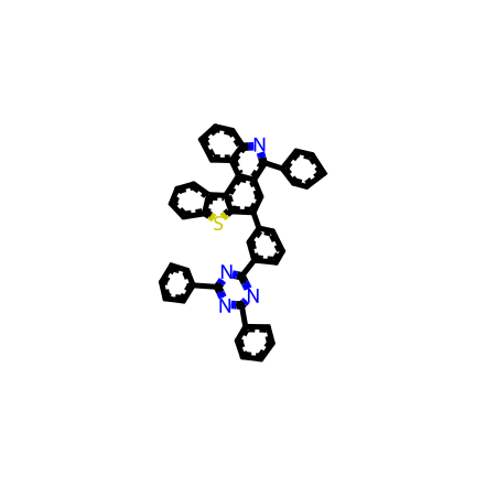 c1ccc(-c2nc(-c3ccccc3)nc(-c3cccc(-c4cc5c(-c6ccccc6)nc6ccccc6c5c5c4sc4ccccc45)c3)n2)cc1